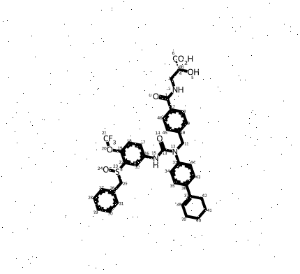 O=C(NC[C@@H](O)C(=O)O)c1ccc(CN(C(=O)Nc2ccc(OC(F)(F)F)c([S+]([O-])Cc3ccccc3)c2)c2ccc(C3=CCCCC3)cc2)cc1